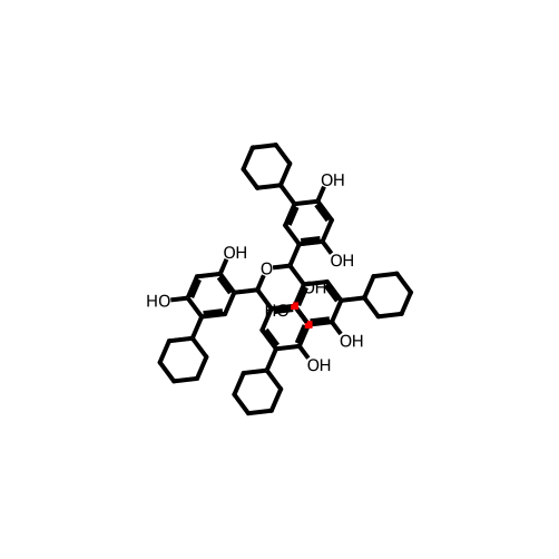 Oc1cc(O)c(C(OC(c2cc(C3CCCCC3)c(O)cc2O)c2cc(C3CCCCC3)c(O)cc2O)c2cc(C3CCCCC3)c(O)cc2O)cc1C1CCCCC1